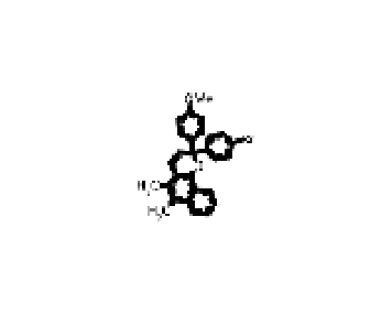 COc1ccc(C2(c3ccc(Br)cc3)C=Cc3c(C)c(C)c4ccccc4c3O2)cc1